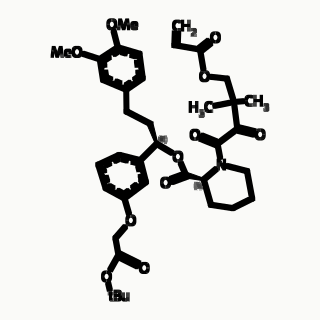 C=CC(=O)OCC(C)(C)C(=O)C(=O)N1CCCC[C@H]1C(=O)O[C@H](CCc1ccc(OC)c(OC)c1)c1cccc(OCC(=O)OC(C)(C)C)c1